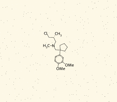 COc1ccc(C2(CN(C)C[C@@H](C)CCl)CCCC2)cc1OC